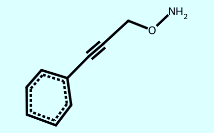 NOCC#Cc1ccccc1